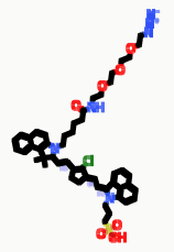 CC1(C)c2c(ccc3ccccc23)N(CCCCCC(=O)NCCOCCOCCOCCN=[N+]=[N-])C1/C=C/C1=C(Cl)C(=C/C=c2\c3cccc4cccc(c43)n2CCCS(=O)(=O)O)/CC1